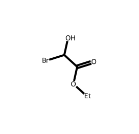 CCOC(=O)C(O)Br